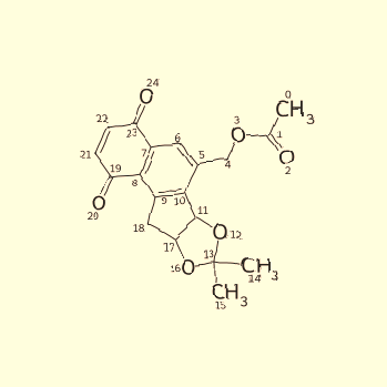 CC(=O)OCc1cc2c(c3c1C1OC(C)(C)OC1C3)C(=O)C=CC2=O